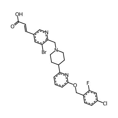 O=C(O)C=Cc1cnc(CN2CCC(c3cccc(OCc4ccc(Cl)cc4F)n3)CC2)c(Br)c1